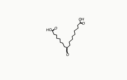 O=C=C(CCCCCCCCC(=O)O)CCCCCCCC(=O)O